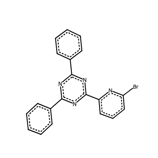 Brc1cccc(-c2nc(-c3ccccc3)nc(-c3ccccc3)n2)n1